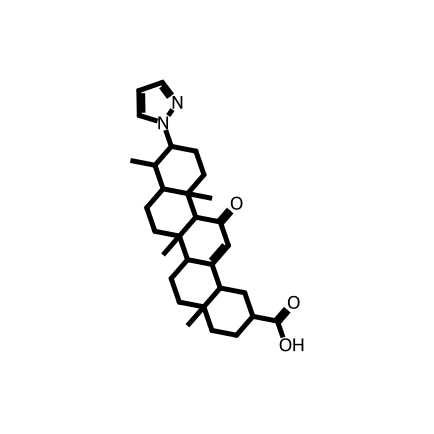 CC1C(n2cccn2)CCC2(C)C1CCC1(C)C3CCC4(C)CCC(C(=O)O)CC4C3=CC(=O)C12